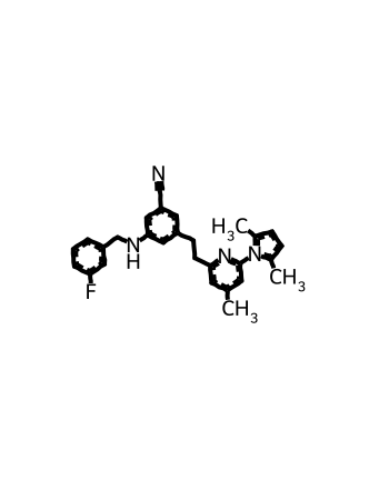 Cc1cc(CCc2cc(C#N)cc(NCc3cccc(F)c3)c2)nc(-n2c(C)ccc2C)c1